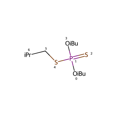 CC(C)COP(=S)(OCC(C)C)SCC(C)C